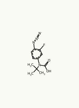 CC(C)(C)N(C(=O)O)c1ccc(N=[N+]=[N-])c(F)c1